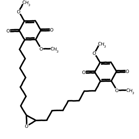 COC1=CC(=O)C(OC)=C(CCCCCCCC2OC2CCCCCCCC2=C(OC)C(=O)C=C(OC)C2=O)C1=O